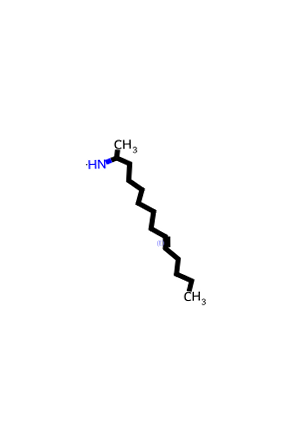 CCCC/C=C/CCCCCCC(C)[NH]